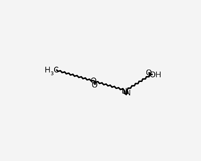 CCCCCCCCCCCCCCCCCCOC(=O)CCCCCCCCCCCCCN1CCN=C1CCCCCCCCCCCCC(=O)O